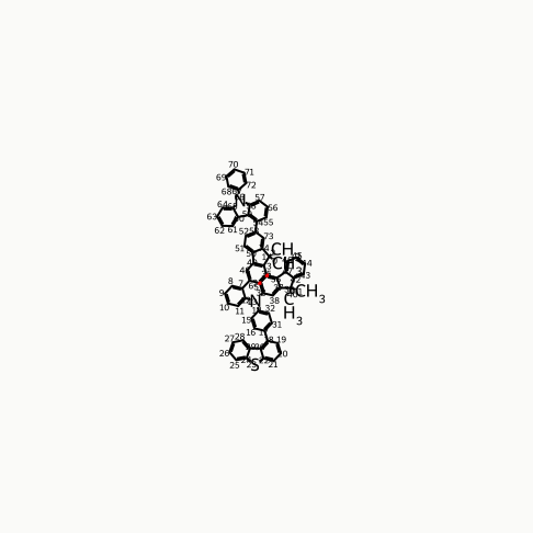 CC1(C)c2ccc(-c3ccccc3N(c3ccc(-c4cccc5sc6ccccc6c45)cc3)c3ccc4c(c3)C(C)(C)c3ccccc3-4)cc2-c2ccc(-c3cccc4c3c3ccccc3n4-c3ccccc3)cc21